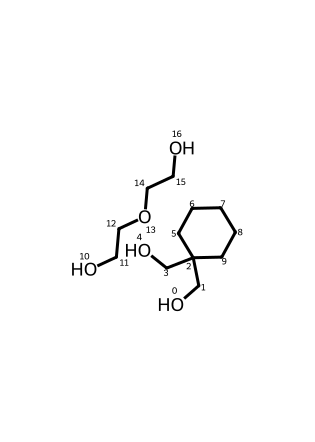 OCC1(CO)CCCCC1.OCCOCCO